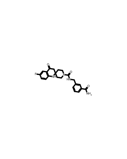 NC(=O)c1cccc(CNC(=O)N2CCC3(CC2)CC(=O)c2cc(F)ccc2N3)c1